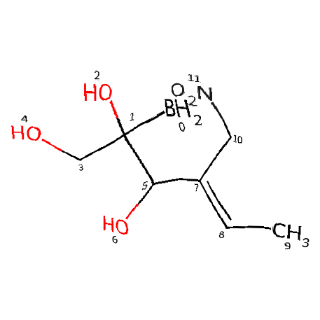 BC(O)(CO)C(O)/C(=C/C)C[N+](=O)[O-]